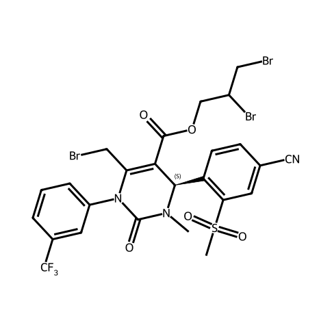 CN1C(=O)N(c2cccc(C(F)(F)F)c2)C(CBr)=C(C(=O)OCC(Br)CBr)[C@H]1c1ccc(C#N)cc1S(C)(=O)=O